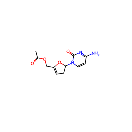 CC(=O)OCC1=CCC(n2ccc(N)nc2=O)O1